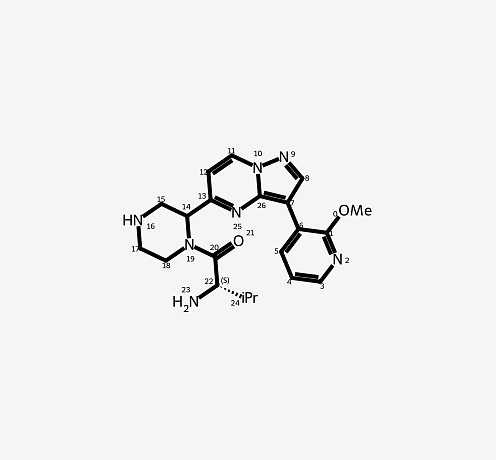 COc1ncccc1-c1cnn2ccc(C3CNCCN3C(=O)[C@@H](N)C(C)C)nc12